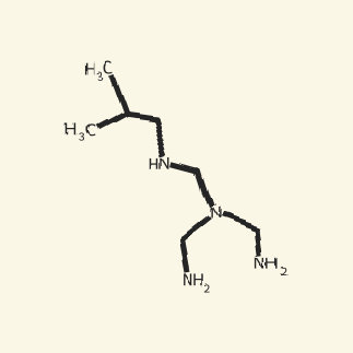 CC(C)CNCN(CN)CN